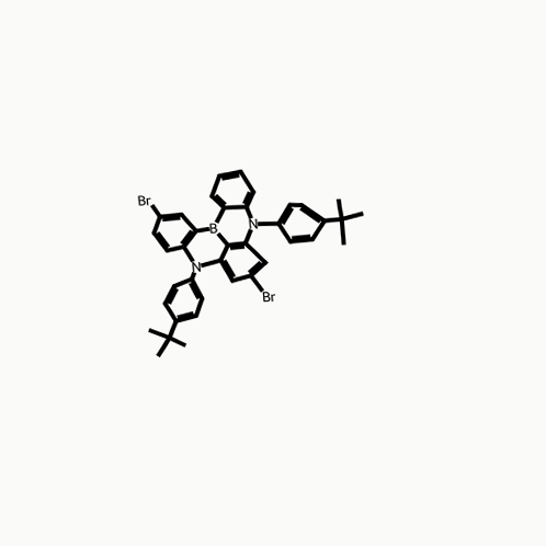 CC(C)(C)c1ccc(N2c3ccccc3B3c4cc(Br)ccc4N(c4ccc(C(C)(C)C)cc4)c4cc(Br)cc2c43)cc1